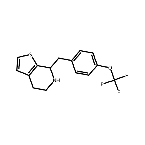 FC(F)(F)Oc1ccc(CC2NCCc3ccsc32)cc1